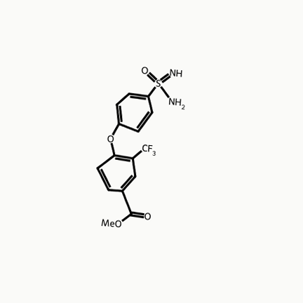 COC(=O)c1ccc(Oc2ccc(S(=N)(N)=O)cc2)c(C(F)(F)F)c1